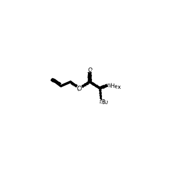 C=CCOC(=O)C(CCCC)CCCCCC